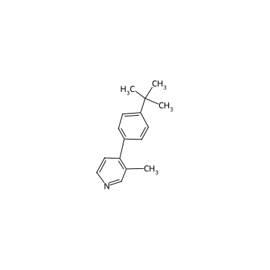 Cc1cnccc1-c1ccc(C(C)(C)C)cc1